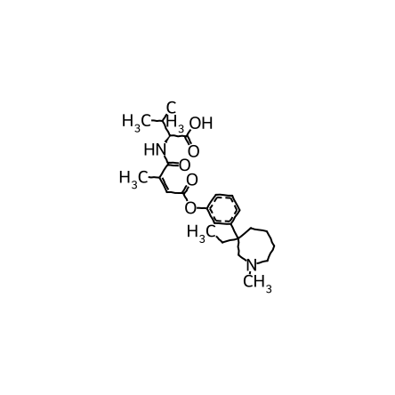 CCC1(c2cccc(OC(=O)/C=C(/C)C(=O)N[C@H](C(=O)O)C(C)C)c2)CCCCN(C)C1